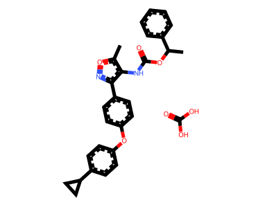 Cc1onc(-c2ccc(Oc3ccc(C4CC4)cc3)cc2)c1NC(=O)OC(C)c1ccccc1.O=C(O)O